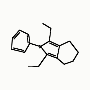 CCc1c2c(c(CC)n1-c1ccccc1)CCCC2